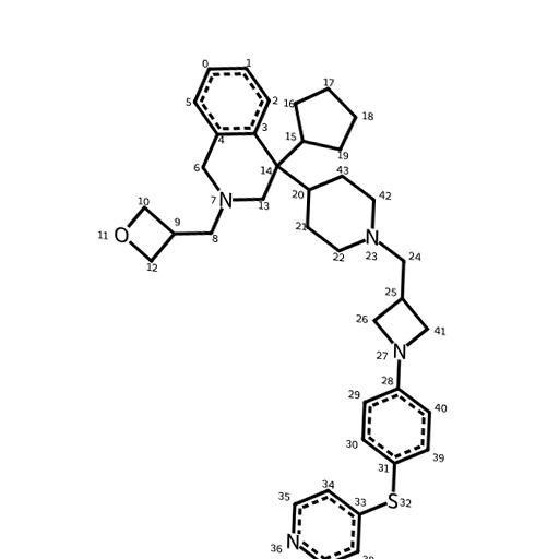 c1ccc2c(c1)CN(CC1COC1)CC2(C1CCCC1)C1CCN(CC2CN(c3ccc(Sc4ccncc4)cc3)C2)CC1